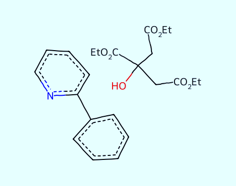 CCOC(=O)CC(O)(CC(=O)OCC)C(=O)OCC.c1ccc(-c2ccccn2)cc1